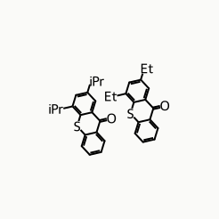 CC(C)c1cc(C(C)C)c2sc3ccccc3c(=O)c2c1.CCc1cc(CC)c2sc3ccccc3c(=O)c2c1